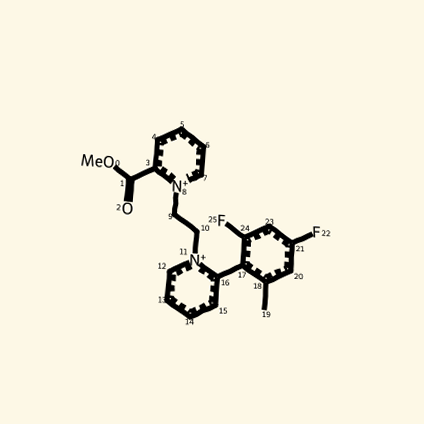 COC(=O)c1cccc[n+]1CC[n+]1ccccc1-c1c(C)cc(F)cc1F